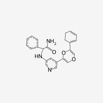 NC(=O)C(Nc1cncc(C2=COC=C(C3=CC=CCC3)O2)c1)c1ccccc1